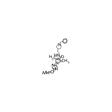 COc1cnc(N2C[C@@H](C)N(C(=O)NCCC3CCN(Cc4ccccc4)CC3)[C@H](C)C2)cn1